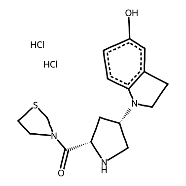 Cl.Cl.O=C([C@@H]1C[C@H](N2CCc3cc(O)ccc32)CN1)N1CCSC1